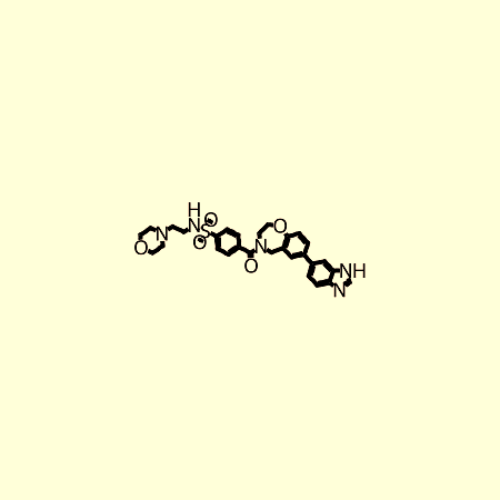 O=C(c1ccc(S(=O)(=O)NCCN2CCOCC2)cc1)N1CCOc2ccc(-c3ccc4nc[nH]c4c3)cc2C1